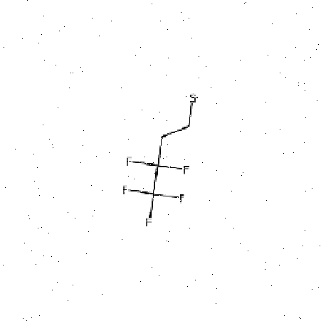 FC(F)(F)C(F)(F)CC[S]